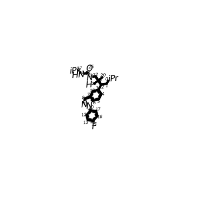 CC(C)CC(c1ccc2c(cnn2-c2ccc(F)cc2)c1)C(C)(C)CNC(=O)NC(C)C